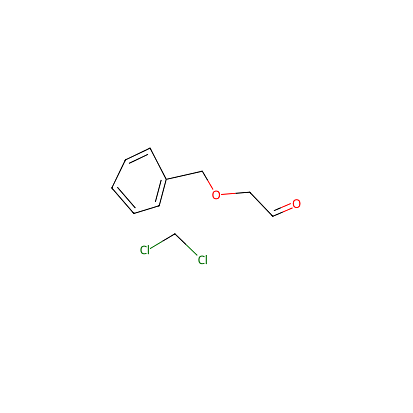 ClCCl.O=CCOCc1ccccc1